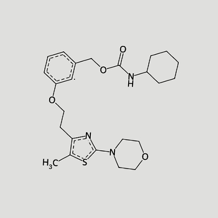 Cc1sc(N2CCOCC2)nc1CCOc1[c]c(COC(=O)NC2CCCCC2)ccc1